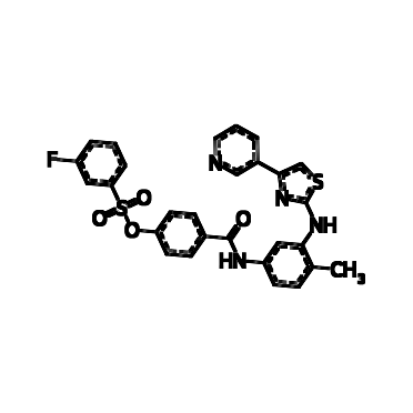 Cc1ccc(NC(=O)c2ccc(OS(=O)(=O)c3cccc(F)c3)cc2)cc1Nc1nc(-c2cccnc2)cs1